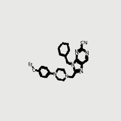 CCOc1ccc(N2CCN(Cc3nc4cnc(C#N)nc4n3CC3CCCCC3)CC2)cc1